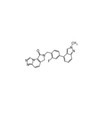 Cn1cc2c(-c3ccc(CN4Cc5ccc6nncn6c5C4=O)c(F)c3)cccc2n1